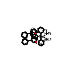 CC[N](CC)[Zr]([N](CC)CC)[Sn]([c]1ccccc1)([c]1ccccc1C1C(C)=Cc2c(-c3ccccc3)cccc21)[CH]1C(C)=Cc2c(-c3ccccc3)cccc21